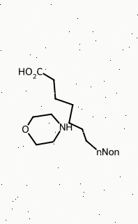 C1COCCN1.CCCCCCCCCCCCCCCC(=O)O